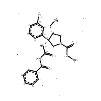 CC(C)(C)OC(=O)N1C[C@@H](CO)[C@](NC(=S)NC(=O)c2ccccc2)(c2cc(C(F)(F)F)ccn2)C1